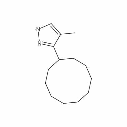 CC1=C[N]N=C1C1CCCCCCCCC1